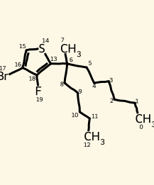 CCCCCCC(C)(CCCCC)c1scc(Br)c1F